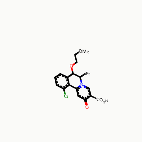 COCCOC1c2cccc(Cl)c2-c2cc(=O)c(C(=O)O)cn2C1C(C)C